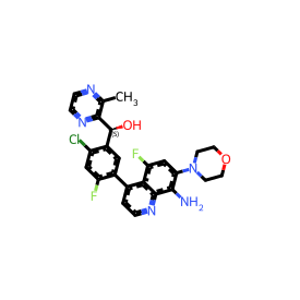 Cc1nccnc1[C@@H](O)c1cc(-c2ccnc3c(N)c(N4CCOCC4)cc(F)c23)c(F)cc1Cl